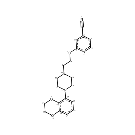 N#Cc1ccnc(OCCN2CCN(c3cccc4c3OCCO4)CC2)c1